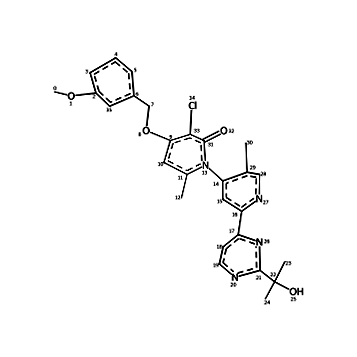 COc1cccc(COc2cc(C)n(-c3cc(-c4ccnc(C(C)(C)O)n4)ncc3C)c(=O)c2Cl)c1